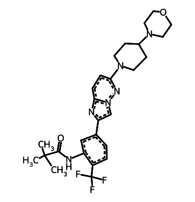 CC(C)(C)C(=O)Nc1cc(-c2cn3nc(N4CCC(N5CCOCC5)CC4)ccc3n2)ccc1C(F)(F)F